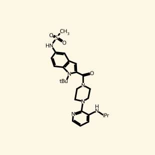 CC(C)Nc1cccnc1N1CCN(C(=O)c2cc3cc(NS(C)(=O)=O)ccc3n2C(C)(C)C)CC1